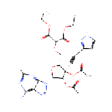 CCOC(=O)C(OC[C@H]1O[C@@H](n2cnc3c(N)nc(Cl)nc32)[C@H](OC(C)=O)[C@]1(C#Cc1cc[nH]n1)OC(C)=O)C(=O)OCC